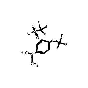 C[S+](C)c1ccc(OC(F)(F)F)cc1.O=S(=O)([O-])C(F)(F)F